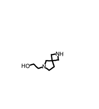 OCCN1CCC2(CNC2)C1